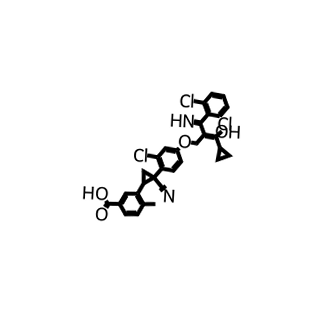 Cc1ccc(C(=O)O)cc1C1CC1(C#N)c1ccc(OC/C(C(=N)c2c(Cl)cccc2Cl)=C(/O)C2CC2)cc1Cl